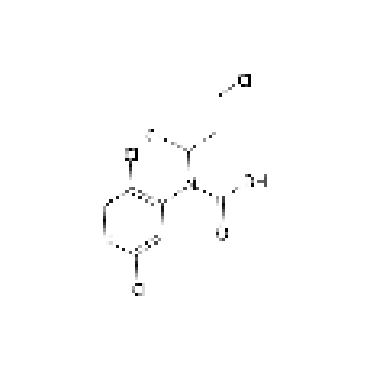 O=C(O)N(c1cc(Cl)ccc1Cl)C(Cl)CCCl